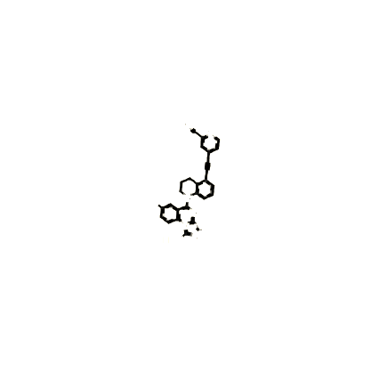 Cc1nnc2nc(N3CCCc4c(C#Cc5ccnc(C#N)c5)cccc43)c3cc(F)ccc3n12